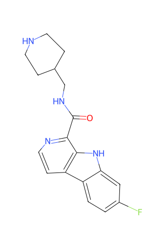 O=C(NCC1CCNCC1)c1nccc2c1[nH]c1cc(F)ccc12